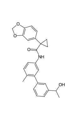 Cc1ccc(NC(=O)C2(c3ccc4c(c3)OCO4)CC2)cc1-c1cccc(C(C)O)c1